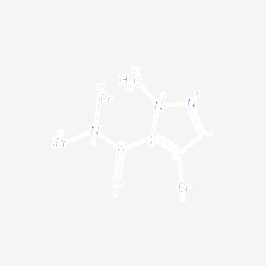 CC(C)N(C(=O)c1c(Br)cnn1C)C(C)C